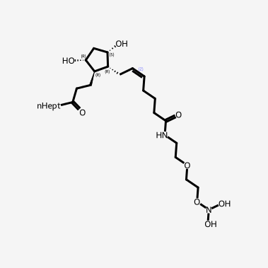 CCCCCCCC(=O)CC[C@@H]1[C@@H](C/C=C\CCCC(=O)NCCOCCON(O)O)[C@@H](O)C[C@H]1O